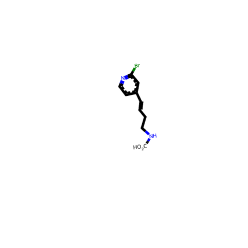 O=C(O)NCCC=Cc1ccnc(Br)c1